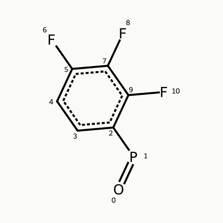 O=Pc1ccc(F)c(F)c1F